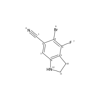 N#Cc1cc2c(c(F)c1Br)CCN2